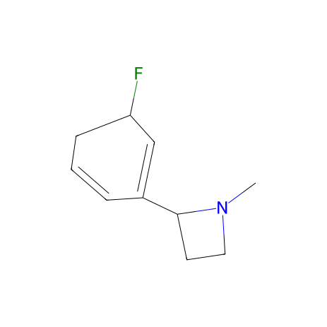 CN1CCC1C1=CC(F)CC=C1